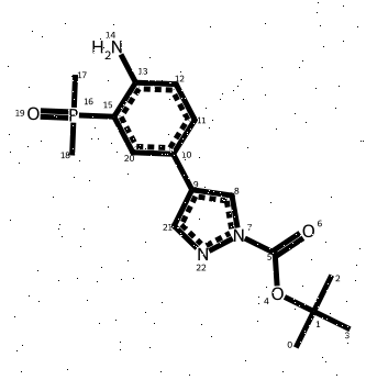 CC(C)(C)OC(=O)n1cc(-c2ccc(N)c(P(C)(C)=O)c2)cn1